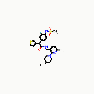 CC1CCN(c2nc(C(F)(F)F)ccc2CNC(=O)C(c2ccsc2)c2ccc(NS(C)(=O)=O)c(F)c2)CC1